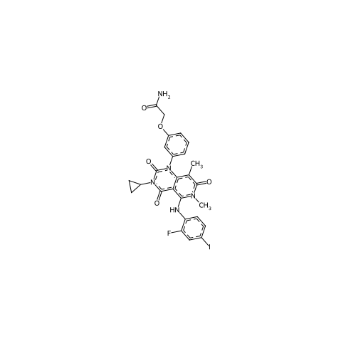 Cc1c(=O)n(C)c(Nc2ccc(I)cc2F)c2c(=O)n(C3CC3)c(=O)n(-c3cccc(OCC(N)=O)c3)c12